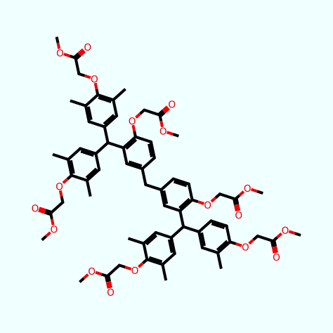 COC(=O)COc1ccc(C(c2cc(C)c(OCC(=O)OC)c(C)c2)c2cc(Cc3ccc(OCC(=O)OC)c(C(c4cc(C)c(OCC(=O)OC)c(C)c4)c4cc(C)c(OCC(=O)OC)c(C)c4)c3)ccc2OCC(=O)OC)cc1C